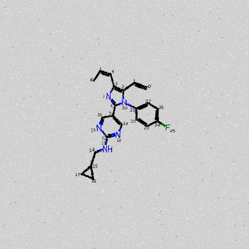 C=Cc1c(/C=C\C)nc(-c2cnc(NCC3CC3)nc2)n1-c1ccc(F)cc1